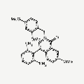 COc1ccc(Cn2cc(-c3c(C)cccc3C)c3ccc(OC)cc3c2=O)c(OC)c1